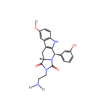 CCOc1ccc2[nH]c3c(c2c1)C[C@@]1(C)C(=O)N(CCN(CC)CC)C(=O)N1[C@@H]3c1cccc(O)c1